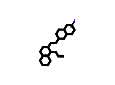 C=CCC1C2=C(CCCC2)CCC1CCC1CCC2C[C@@H](I)CCC2C1